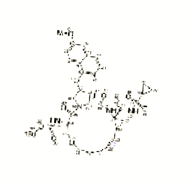 COc1ccc2c(OC3C[C@H]4C(=O)N[C@]5(C(=O)NS(=O)(=O)C6CC6)CC5/C=C\CCCOC[C@H](NC(=O)OC(C)(C)C)C(=O)N4C3)nccc2c1